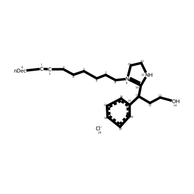 CCCCCCCCCCCCCCCCCC[N+]1=C(C(CCO)c2ccccc2)NCC1.[Cl-]